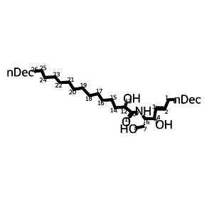 CCCCCCCCCCC/C=C/[C@@H](O)[C@H](CO)NC(=O)C(O)CCCCCCCCCCCCCCCCCCCCCC